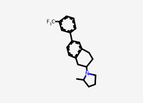 CC1CCCN1C1CCc2cc(-c3cccc(C(F)(F)F)c3)ccc2C1